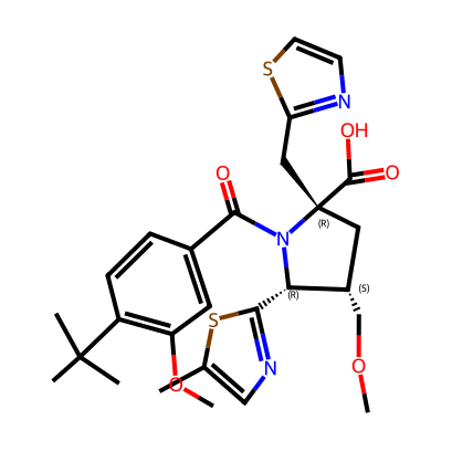 COC[C@H]1C[C@@](Cc2nccs2)(C(=O)O)N(C(=O)c2ccc(C(C)(C)C)c(OC)c2)[C@H]1c1ncc(C)s1